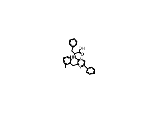 Cc1ccccc1Cc1nc(-c2ccccc2)cnc1NC(Cc1ccccc1)C(=O)O